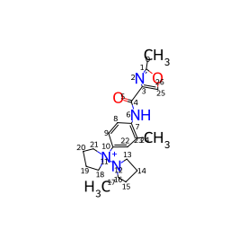 Cc1nc(C(=O)Nc2ccc([N+]3(N4CCC[C@@H]4C)CCCC3)cc2C)co1